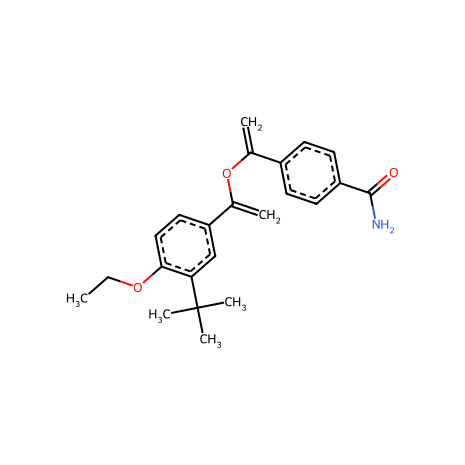 C=C(OC(=C)c1ccc(OCC)c(C(C)(C)C)c1)c1ccc(C(N)=O)cc1